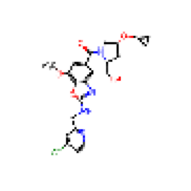 COc1cc(C(=O)N2C[C@H](OC3CC3)C[C@H]2CO)cc2nc(NCc3cc(Cl)ccn3)oc12